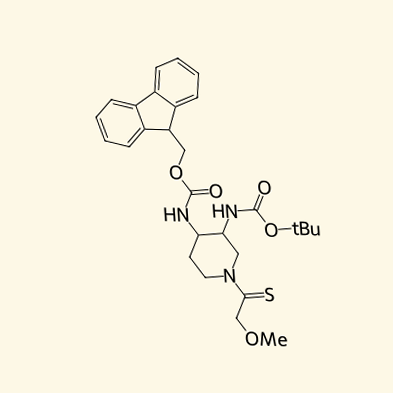 COCC(=S)N1CCC(NC(=O)OCC2c3ccccc3-c3ccccc32)C(NC(=O)OC(C)(C)C)C1